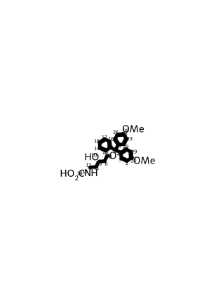 COc1ccc(C(OCCC(O)CCNC(=O)O)(c2ccccc2)c2ccc(OC)cc2)cc1